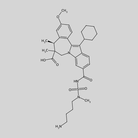 COc1ccc2c(c1)[C@H](C)C(C)(C(=O)O)Cn1c-2c(C2CCCCC2)c2ccc(C(=O)NS(=O)(=O)N(C)CCCCN)cc21